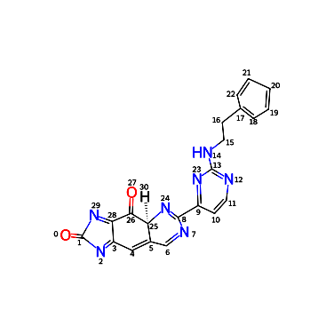 O=C1N=C2C=C3C=NC(c4ccnc(NCCc5ccccc5)n4)=N[C@@H]3C(=O)C2=N1